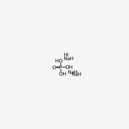 I.O=P(O)(O)O.[NaH].[NaH].[NaH]